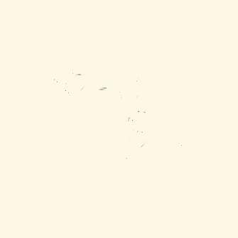 CN1CCC(c2cc(NC(=O)C3=CC(=S)CC(C#Cc4cnc(N)nc4)=C3)cc(C(F)(F)F)c2)CC1